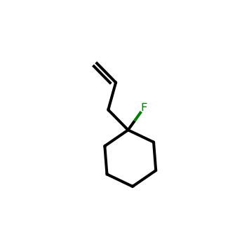 C=CCC1(F)CCCCC1